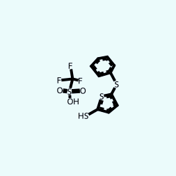 O=S(=O)(O)C(F)(F)F.Sc1ccc(Sc2ccccc2)s1